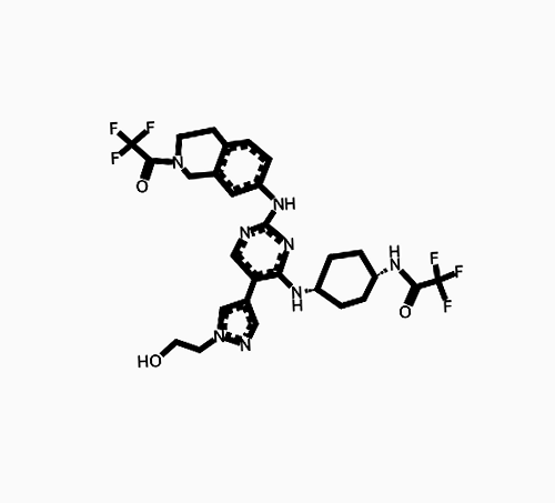 O=C(N[C@H]1CC[C@@H](Nc2nc(Nc3ccc4c(c3)CN(C(=O)C(F)(F)F)CC4)ncc2-c2cnn(CCO)c2)CC1)C(F)(F)F